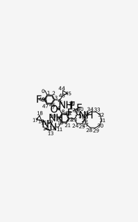 Cc1cc([C@@H](NC(=O)c2cc(Cn3ccn(C4CC4)c3=N)cc(C3CCC4(CCCCCCCCC4)NC3C(F)(F)F)c2)C2CC2)ccc1F